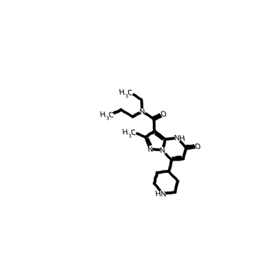 CCCN(CC)C(=O)c1c(C)nn2c(C3CCNCC3)cc(=O)[nH]c12